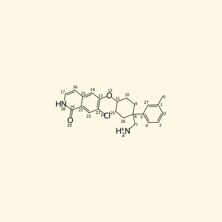 Cc1cccc(C2(CN)CCC(Oc3cc4cc[nH]c(=O)c4cc3Cl)CC2)c1